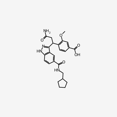 COc1cc(C(=O)O)ccc1C(CC(N)=O)c1n[nH]c2ccc(C(=O)NCC3CCCC3)cc12